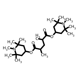 CC(CC(C)C(=O)OC1CC(C)(C)N(C)C(C)(C)C1)C(=O)OC1CC(C)(C)N(C)C(C)(C)C1